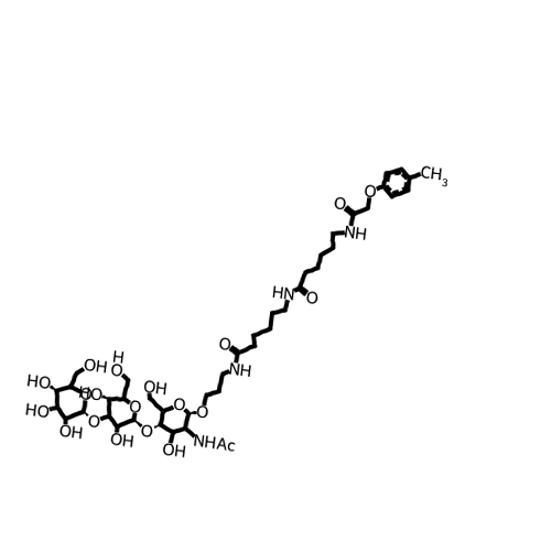 CC(=O)NC1C(O)[C@H](O[C@@H]2OC(CO)[C@H](O)C(O[C@H]3OC(CO)[C@H](O)C(O)C3O)C2O)C(CO)O[C@H]1OCCCNC(=O)CCCCCNC(=O)CCCCCNC(=O)COc1ccc(C)cc1